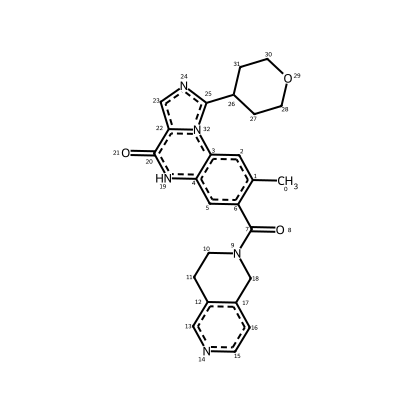 Cc1cc2c(cc1C(=O)N1CCc3cnccc3C1)[nH]c(=O)c1cnc(C3CCOCC3)n12